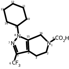 O=C(O)N1CCc2c(C(F)(F)F)nn(C3CCCCC3)c2C1